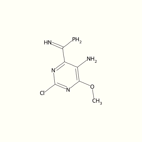 COc1nc(Cl)nc(C(=N)P)c1N